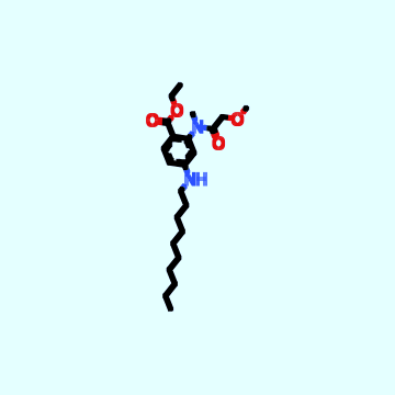 CCCCCCCCCCNc1ccc(C(=O)OCC)c(N(C)C(=O)COC)c1